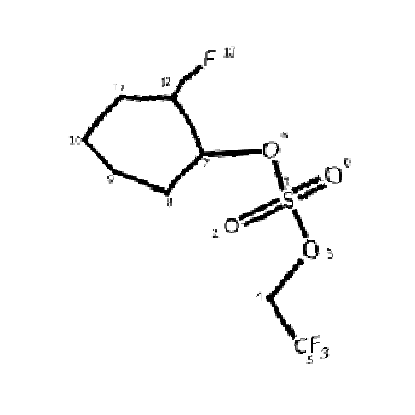 O=S(=O)(OCC(F)(F)F)OC1CCCCC1F